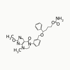 COc1ncc2c(n1)N(C)CCN(c1cccc(COC(CCCOC(N)=O)c3ccccc3)c1)C2=O